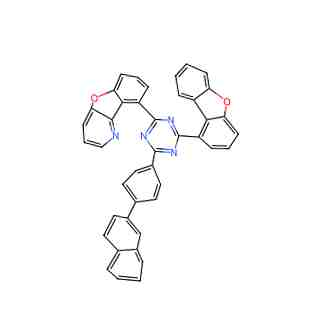 c1ccc2cc(-c3ccc(-c4nc(-c5cccc6oc7ccccc7c56)nc(-c5cccc6oc7cccnc7c56)n4)cc3)ccc2c1